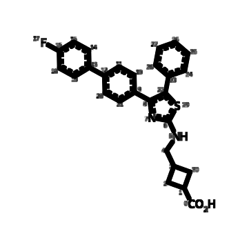 O=C(O)C1CC(CNc2nc(-c3ccc(-c4ccc(F)cc4)cc3)c(-c3ccccc3)s2)C1